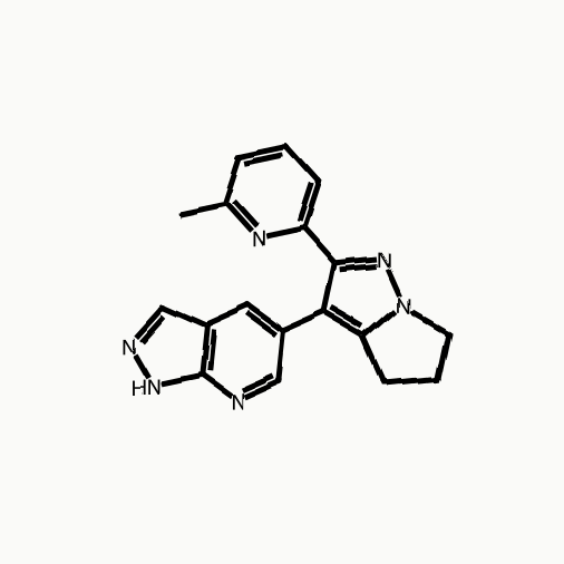 Cc1cccc(-c2nn3c(c2-c2cnc4[nH]ncc4c2)CCC3)n1